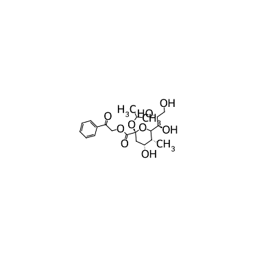 CC(C)O[C@]1(C(=O)OCC(=O)c2ccccc2)C[C@@H](O)[C@@H](C)C([C@H](O)[C@H](O)CO)O1